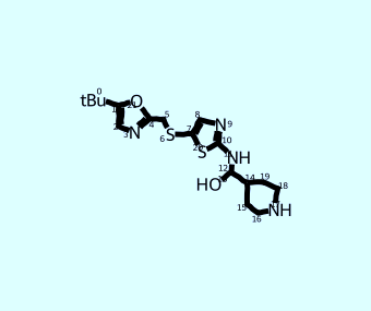 CC(C)(C)c1cnc(CSc2cnc(NC(O)C3CCNCC3)s2)o1